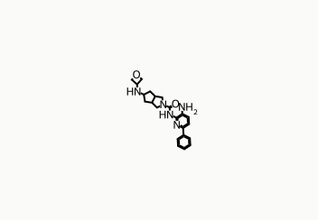 Nc1ccc(-c2ccccc2)nc1NC(=O)N1CC2CC(NC3COC3)CC2C1